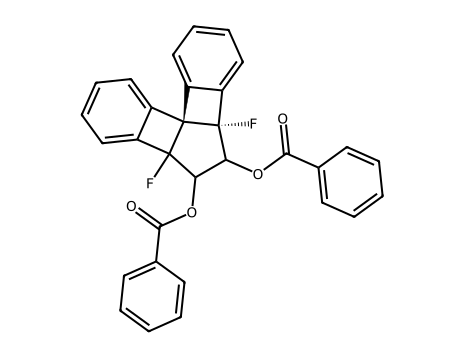 O=C(OC1C(OC(=O)c2ccccc2)[C@]2(F)c3ccccc3[C@@]23c2ccccc2C13F)c1ccccc1